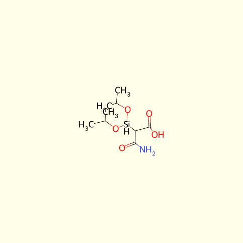 CC(C)O[SiH](OC(C)C)C(C(N)=O)C(=O)O